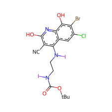 CC(C)(C)OC(=O)N(I)CCN(I)c1c(C#N)c(O)nc2c(O)c(Br)c(Cl)cc12